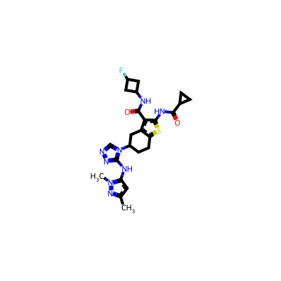 Cc1cc(Nc2nncn2C2CCc3sc(NC(=O)C4CC4)c(C(=O)NC4CC(F)C4)c3C2)n(C)n1